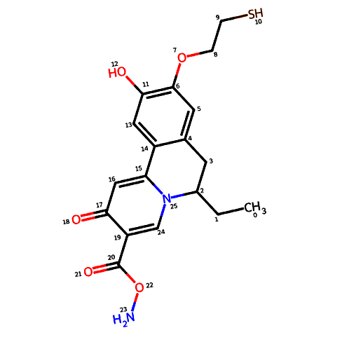 CCC1Cc2cc(OCCS)c(O)cc2-c2cc(=O)c(C(=O)ON)cn21